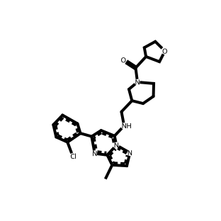 Cc1cnn2c(NCC3CCCN(C(=O)C4CCOC4)C3)cc(-c3ccccc3Cl)nc12